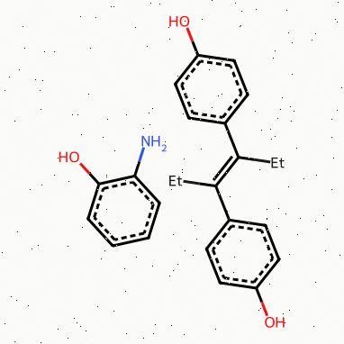 CC/C(=C(/CC)c1ccc(O)cc1)c1ccc(O)cc1.Nc1ccccc1O